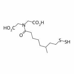 CC(CCCCC(=O)N(CC(=O)O)CC(=O)O)CCSS